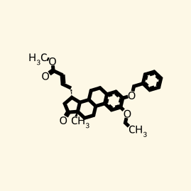 CCOc1cc2c(cc1OCc1ccccc1)CCC1C2CC[C@]2(C)C(=O)C[C@H](CC=CC(=O)OC)C12